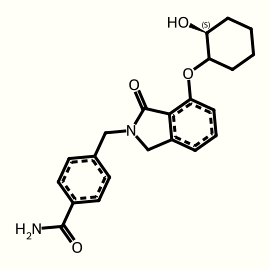 NC(=O)c1ccc(CN2Cc3cccc(OC4CCCC[C@@H]4O)c3C2=O)cc1